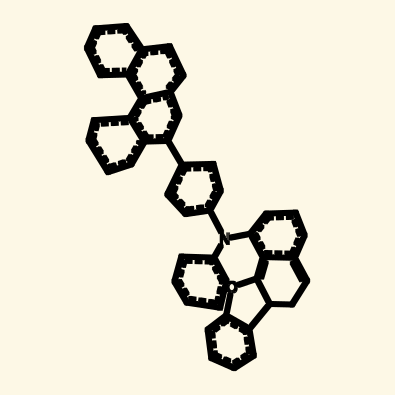 C1=c2cccc(N(c3ccccc3)c3ccc(-c4cc5ccc6ccccc6c5c5ccccc45)cc3)c2=C2Oc3ccccc3C2C1